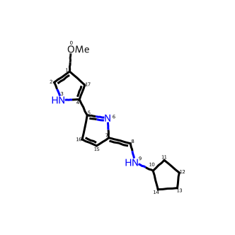 COc1c[nH]c(C2=NC(=CNC3CCCC3)C=C2)c1